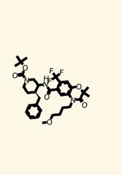 COCCCCN1C(=O)C(C)(C)Oc2cc(C(F)(F)F)c(C(=O)NC3CN(C(=O)OC(C)(C)C)CC[C@@H]3Cc3ccccc3)cc21